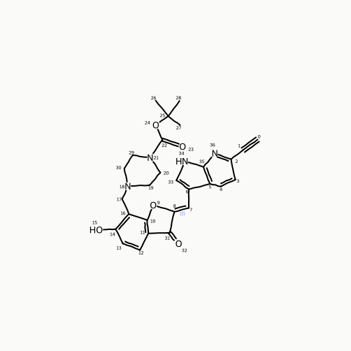 C#Cc1ccc2c(/C=C3\Oc4c(ccc(O)c4CN4CCN(C(=O)OC(C)(C)C)CC4)C3=O)c[nH]c2n1